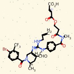 C=CCN/C(=N/C1=C(C=O)C[C@@H](C)N(C(=O)c2ccc(Br)c(C(F)(F)F)c2)C1)N(C)c1ccc(C(=O)N(C)C(=O)CCOC(=O)/C=C/C(=O)O)cc1